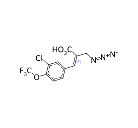 [N-]=[N+]=NC/C(=C/c1ccc(OC(F)(F)F)c(Cl)c1)C(=O)O